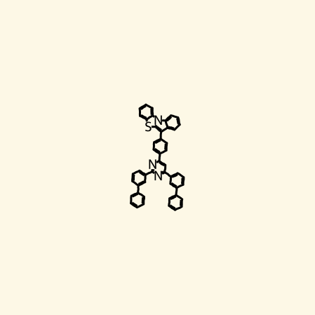 c1ccc(-c2cccc(-c3cc(-c4ccc(-c5c6ccccc6n6c5sc5ccccc56)cc4)nc(-c4cccc(-c5ccccc5)c4)n3)c2)cc1